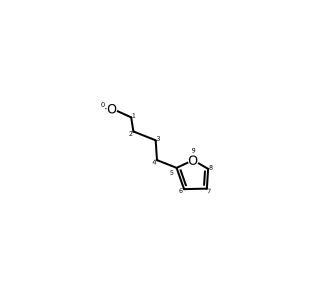 [O]CCCCc1ccco1